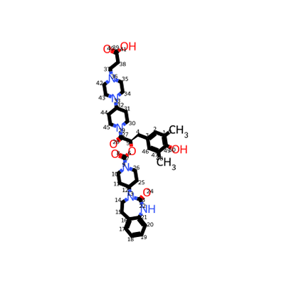 Cc1cc(C[C@@H](OC(=O)N2CCC(N3CCc4ccccc4NC3=O)CC2)C(=O)N2CCC(N3CCN(CCC(=O)O)CC3)CC2)cc(C)c1O